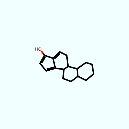 OC1=CC=C2C1=CCC1C2CCC2CCCCC21